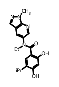 CCN(C(=O)c1cc(C(C)C)c(O)cc1O)c1cnc2c(cnn2C)c1